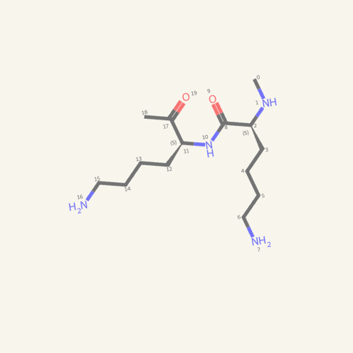 CN[C@@H](CCCCN)C(=O)N[C@@H](CCCCN)C(C)=O